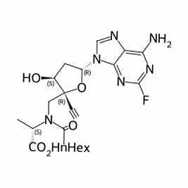 C#C[C@]1(CN(C(=O)CCCCCC)[C@@H](C)C(=O)O)O[C@@H](n2cnc3c(N)nc(F)nc32)C[C@@H]1O